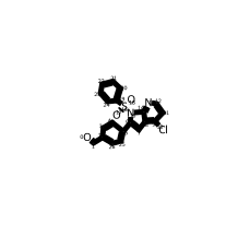 O=Cc1ccc(-c2cc3c(Cl)ccnc3n2S(=O)(=O)c2ccccc2)cc1